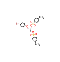 Cc1ccc(S(=O)(=O)OCC(COc2ccc(Br)cc2)COS(=O)(=O)c2ccc(C)cc2)cc1